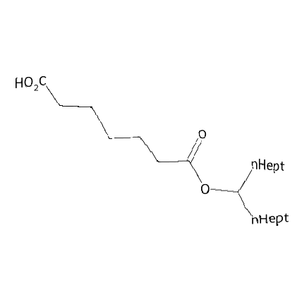 CCCCCCCC(CCCCCCC)OC(=O)CCCCCC(=O)O